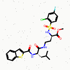 COC(=O)[C@@H](CCNC(=O)[C@H](CC(C)C)NC(=O)c1cc2ccccc2s1)NS(=O)(=O)c1ccc(F)cc1Cl